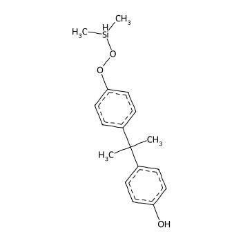 C[SiH](C)OOc1ccc(C(C)(C)c2ccc(O)cc2)cc1